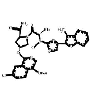 COc1cnc(O[C@@H]2C[C@@H](C(N)=O)N(C(=O)[C@@H](N(Cl)c3nc(-c4sc5ccccc5c4C)cs3)C(C)(C)C)C2)c2cc(Cl)ccc12